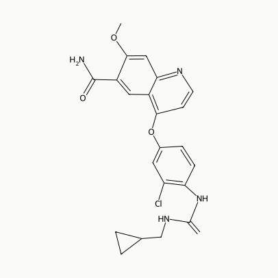 C=C(NCC1CC1)Nc1ccc(Oc2ccnc3cc(OC)c(C(N)=O)cc23)cc1Cl